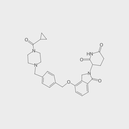 O=C1CCC(N2Cc3c(OCc4ccc(CN5CCN(C(=O)C6CC6)CC5)cc4)cccc3C2=O)C(=O)N1